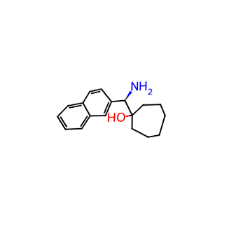 N[C@H](c1ccc2ccccc2c1)C1(O)CCCCCC1